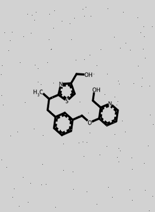 CC(Cc1cccc(COc2cccnc2CO)c1)c1nc(CO)cs1